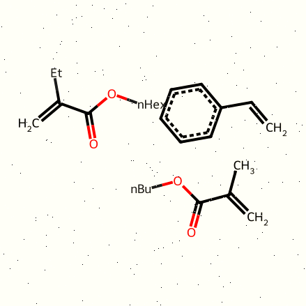 C=C(C)C(=O)OCCCC.C=C(CC)C(=O)OCCCCCC.C=Cc1ccccc1